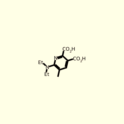 CCN(CC)c1nc(C(=O)O)c(C(=O)O)cc1C